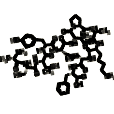 CC[C@H](C)[C@H](NC(=O)[C@H](CO)NC(=O)[C@H](Cc1ccc(O)cc1)NC(=O)[C@@H](NC(=O)[C@H](CS)NC(=O)[C@H](C)N)[C@@H](C)O)C(=O)N1CCC[C@H]1C(=O)N[C@@H](C)C(=O)N[C@@H](CCCCN)C(=O)N[C@@H](CS)C(=O)N[C@@H](Cc1ccccc1)C(=O)O